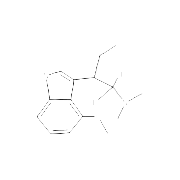 [2H]C([2H])(C(CC)c1c[nH]c2cccc(OC)c12)N(C)C